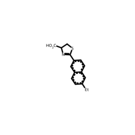 CCc1ccc2cc(C3=NC(C(=O)O)CS3)ccc2c1